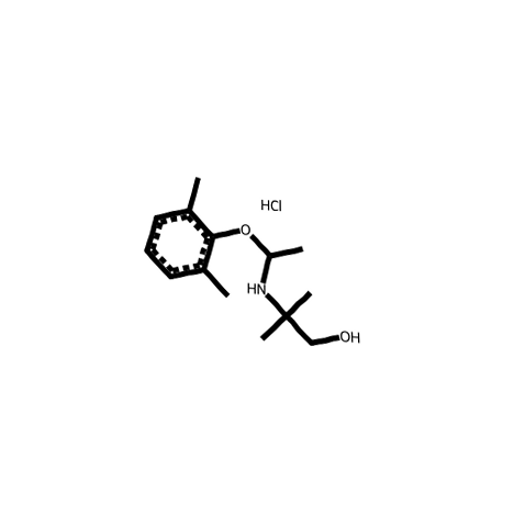 Cc1cccc(C)c1OC(C)NC(C)(C)CO.Cl